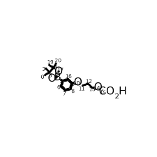 CC1(C)OB(c2cccc(OCCCOC(=O)O)c2)OC1(C)C